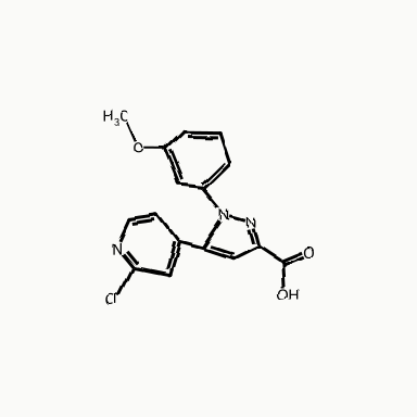 COc1cccc(-n2nc(C(=O)O)cc2-c2ccnc(Cl)c2)c1